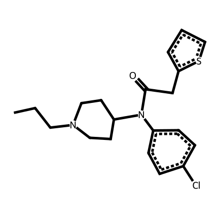 CCCN1CCC(N(C(=O)Cc2cccs2)c2ccc(Cl)cc2)CC1